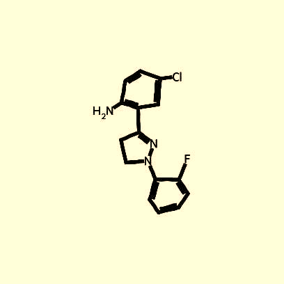 Nc1ccc(Cl)cc1C1=NN(c2ccccc2F)CC1